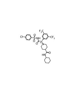 O=C(NC1CCCCC1)C1CCN([C@@H](C(=O)NS(=O)(=O)c2ccc(Cl)cc2)c2cc(C(F)(F)F)cc(C(F)(F)F)c2)CC1